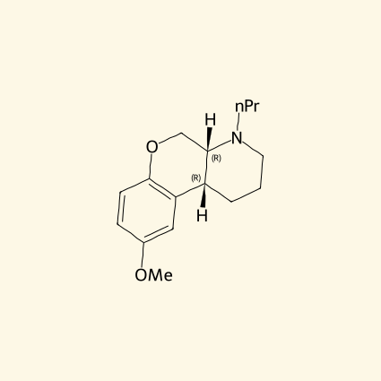 CCCN1CCC[C@@H]2c3cc(OC)ccc3OC[C@@H]21